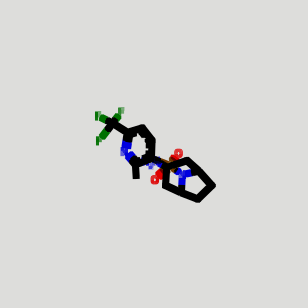 Cc1nc(C(F)(F)F)ccc1S(=O)(=O)N1C2CCC1CC(N)C2